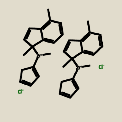 Cc1cccc2c1C=C[C]2(C)[Zr+]([CH3])[C]1=CC=CC1.Cc1cccc2c1C=C[C]2(C)[Zr+]([CH3])[C]1=CC=CC1.[Cl-].[Cl-]